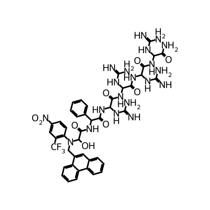 N=C(N)NC(NC(=O)C(NC(=N)N)NC(=O)C(NC(=N)N)NC(=O)C(NC(=N)N)NC(=O)C(NC(=O)C(O)N(Cc1cc2ccccc2c2ccccc12)c1ccc([N+](=O)[O-])cc1C(F)(F)F)c1ccccc1)C(N)=O